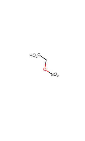 O=C(O)CO[N+](=O)[O-]